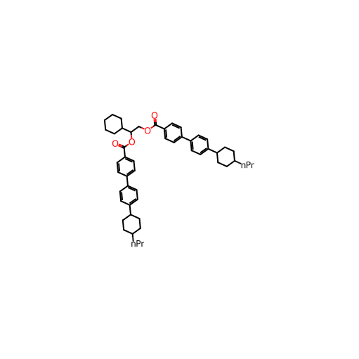 CCCC1CCC(c2ccc(-c3ccc(C(=O)OCC(OC(=O)c4ccc(-c5ccc(C6CCC(CCC)CC6)cc5)cc4)C4CCCCC4)cc3)cc2)CC1